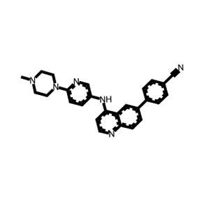 CN1CCN(c2ccc(Nc3ccnc4ccc(-c5ccc(C#N)cc5)cc34)cn2)CC1